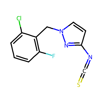 Fc1cccc(Cl)c1Cn1ccc(N=C=S)n1